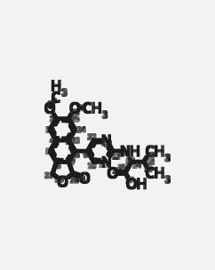 COc1cc2cc3c(c(-c4cnc(N[C@@H](C(=O)O)C(C)C)nc4)c2cc1OC)C(=O)OC3